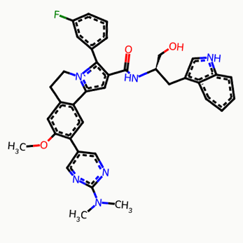 COc1cc2c(cc1-c1cnc(N(C)C)nc1)-c1cc(C(=O)N[C@@H](CO)Cc3c[nH]c4ccccc34)c(-c3cccc(F)c3)n1CC2